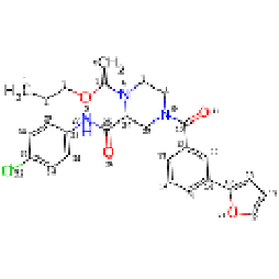 C=C(OCCC)N1CCN(C(=O)c2cccc(-c3ccco3)c2)CC1C(=O)Nc1ccc(Cl)cc1